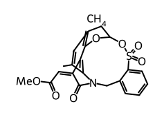 C.COC(=O)C=C1C(=O)N2Cc3ccccc3S(=O)(=O)OC3Cc4cc(C)c2c1c4O3